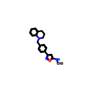 O=CNc1cc(-c2ccc(CN3CCCc4ccccc43)cc2)no1